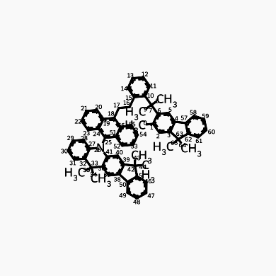 Cc1cc2c(cc1C(C)(C)c1ccccc1CCc1c3ccccc3c(N3c4ccccc4C(C)(C)c4cc5c(cc43)C(C)(C)c3ccccc3-5)c3ccccc13)-c1ccccc1C2(C)C